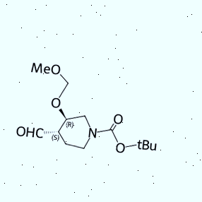 COCO[C@H]1CN(C(=O)OC(C)(C)C)CC[C@@H]1C=O